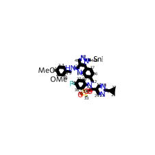 COc1ccc(CNc2nc3cc(CN(C(=O)c4cnc(C5CC5)nc4)c4ccc(F)cc4S(C)(=O)=O)ccc3c3c2cnn3C)c(OC)c1.[Sn]